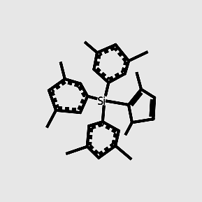 CC1=C([Si](c2cc(C)cc(C)c2)(c2cc(C)cc(C)c2)c2cc(C)cc(C)c2)C(C)C=C1